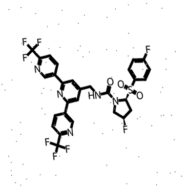 O=C(NCc1cc(-c2ccc(C(F)(F)F)nc2)nc(-c2ccc(C(F)(F)F)nc2)c1)N1C[C@H](F)C[C@@H]1S(=O)(=O)c1ccc(F)cc1